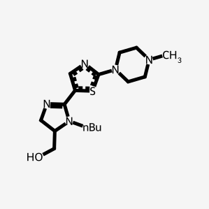 CCCCN1C(c2cnc(N3CCN(C)CC3)s2)=NCC1CO